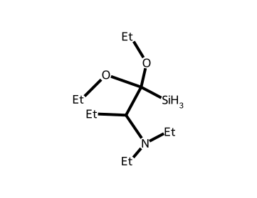 CCOC([SiH3])(OCC)C(CC)N(CC)CC